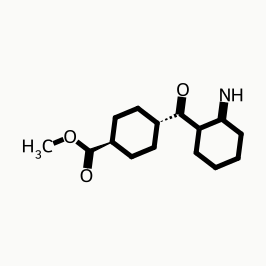 COC(=O)[C@H]1CC[C@H](C(=O)C2CCCCC2=N)CC1